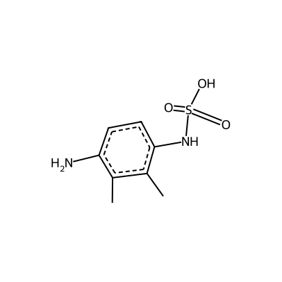 Cc1c(N)ccc(NS(=O)(=O)O)c1C